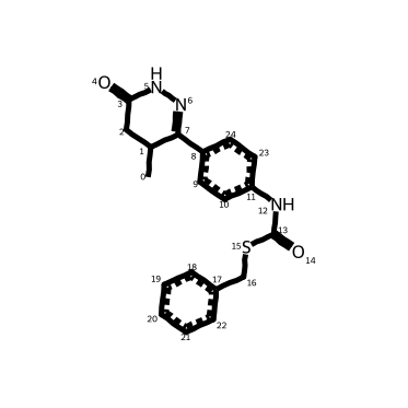 CC1CC(=O)NN=C1c1ccc(NC(=O)SCc2ccccc2)cc1